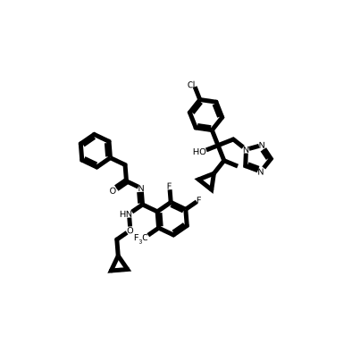 CC(C1CC1)C(O)(Cn1cncn1)c1ccc(Cl)cc1.O=C(Cc1ccccc1)/N=C(\NOCC1CC1)c1c(C(F)(F)F)ccc(F)c1F